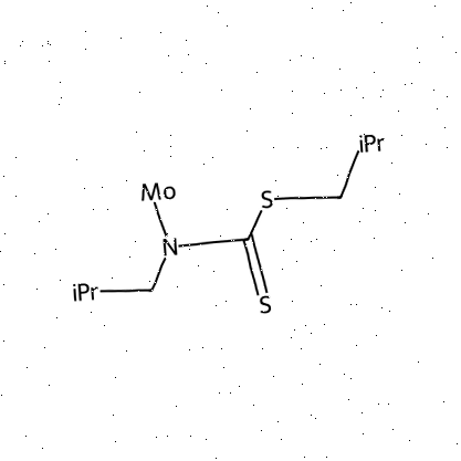 CC(C)CSC(=S)[N]([Mo])CC(C)C